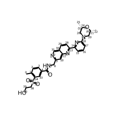 Cc1ccc(C(=O)NCc2cc3nc(-c4cccc(N5C[C@@H](C)O[C@@H](C)C5)n4)ccc3cn2)cc1S(=O)(=O)CCO